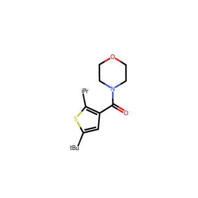 CC(C)c1sc(C(C)(C)C)cc1C(=O)N1CCOCC1